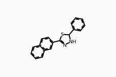 c1ccc(C2NN=C(c3ccc4ccccc4c3)S2)cc1